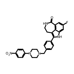 O=C1NCCc2c(-c3ccc(CN4CCN(c5ccc([N+](=O)[O-])cc5)CC4)cc3)[nH]c3cc(F)cc1c23